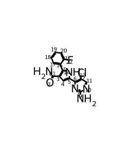 NC(=O)c1cc(-c2nc(N)ncc2Cl)[nH]c1-c1ccccc1F